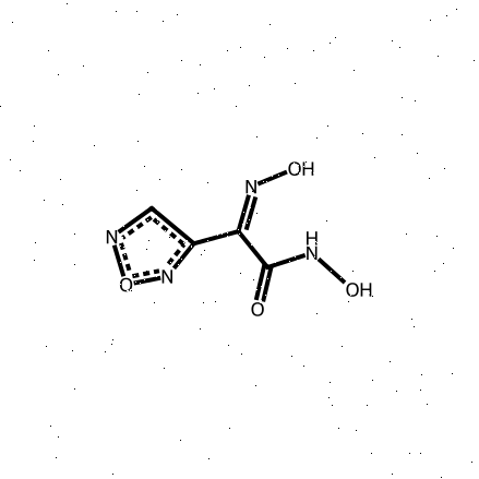 O=C(NO)C(=NO)c1cnon1